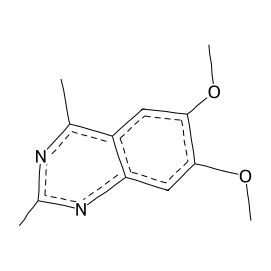 COc1cc2nc(C)nc(C)c2cc1OC